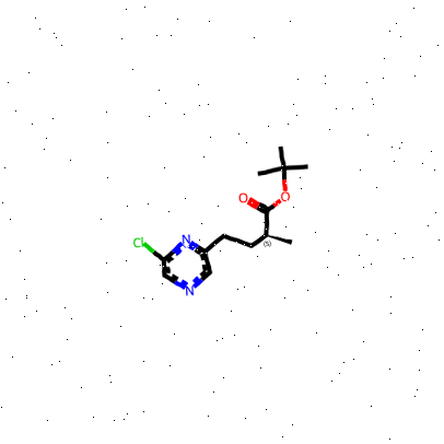 C[C@@H](CCc1cncc(Cl)n1)C(=O)OC(C)(C)C